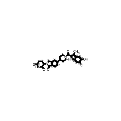 Cc1c(C(=O)N2CCC(c3ccc4c(c3)CN(C3CCC(=O)NC3=O)C4=O)CC2)[nH]c2cc(Cl)c(O)cc12